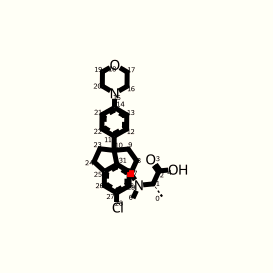 C[C@@H](C(=O)O)N(C)CCCC1(c2ccc(N3CCOCC3)cc2)CCc2cc(Cl)ccc21